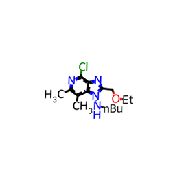 CCCCNn1c(COCC)nc2c(Cl)nc(C)c(C)c21